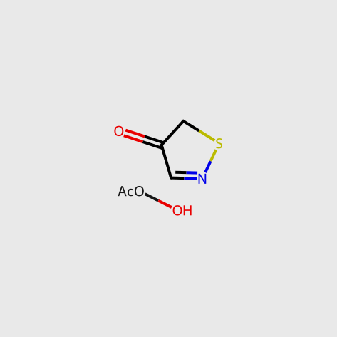 CC(=O)OO.O=C1C=NSC1